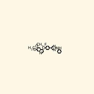 COc1cc2nccc(Oc3ccc(-c4cnc(Nc5ccccc5)nc4)cc3F)c2cc1OC